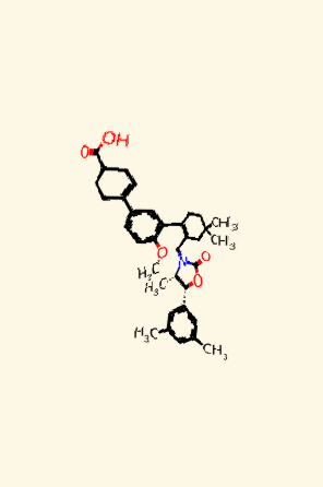 COc1ccc(C2=CCC(C(=O)O)CC2)cc1C1=C(CN2C(=O)O[C@H](c3cc(C)cc(C)c3)[C@@H]2C)CC(C)(C)CC1